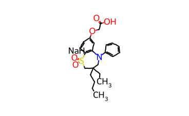 CCCCC1(CC)CN(c2ccccc2)c2cc(OCC(=O)O)ccc2S(=O)(=O)C1.[NaH]